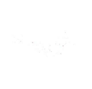 COc1cc(C(=O)N2CC[C@]3(C4(C)C=C(F)C=C(F)C4)OCOC3C2)ccc1OCCOC(F)(F)F